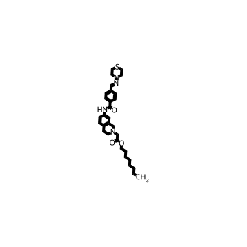 CCCCCCCCOC(=O)CN1CCc2ccc(NC(=O)c3ccc(/C=N/N4CCSCC4)cc3)cc2C1